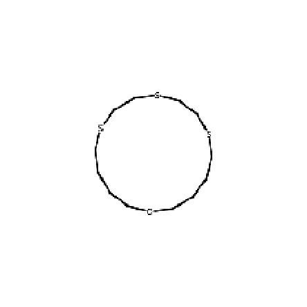 C1CCSCCSCCSCCCCOC1